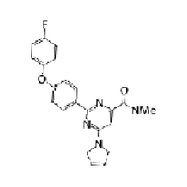 CNC(=O)c1cc(N2CC=CC2)nc(-c2ccc(Oc3ccc(F)cc3)cc2)n1